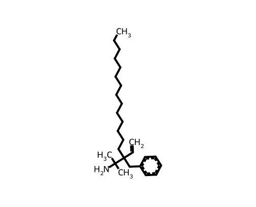 C=CC(CCCCCCCCCCCCCC)(Cc1ccccc1)C(C)(C)N